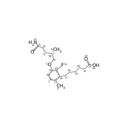 Cc1ccc(OC[C@@H](C)CCC(N)=O)c(F)c1CCCCCC(=O)O